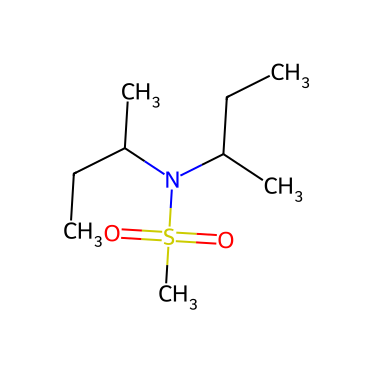 CCC(C)N(C(C)CC)S(C)(=O)=O